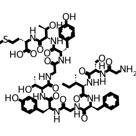 CC[C@H](C)[C@H](NC(=O)[C@H](CO)NC(=O)CN)C(=O)N[C@@H](Cc1ccccc1)C(=O)NCC(=O)N[C@@H](Cc1ccc(O)cc1)C(=O)N[C@H](C(=O)NCC(=O)N[C@@H](Cc1ccc(O)cc1)C(=O)N[C@H](C(=O)N[C@@H](CCSC)C(=O)O)[C@@H](C)O)[C@@H](C)O